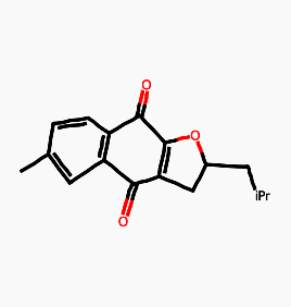 Cc1ccc2c(c1)C(=O)C1=C(OC(CC(C)C)C1)C2=O